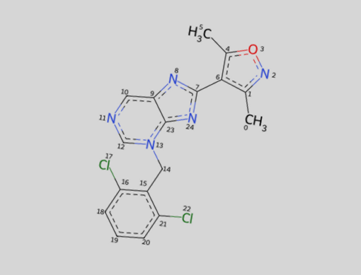 Cc1noc(C)c1-c1nc2cncn(Cc3c(Cl)cccc3Cl)c-2n1